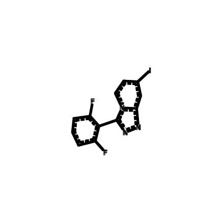 Fc1cccc(F)c1-c1nnc2cc(I)ccn12